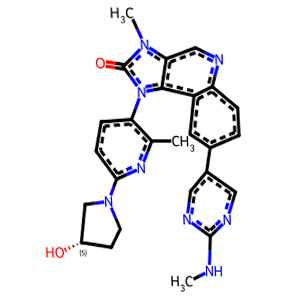 CNc1ncc(-c2ccc3ncc4c(c3c2)n(-c2ccc(N3CC[C@H](O)C3)nc2C)c(=O)n4C)cn1